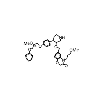 COCCCN1C(=O)COc2ccc(COC3CNCCC3c3ccc(OC[C@@H](COc4ccccc4)OC)cc3)cc21